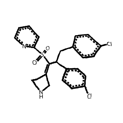 O=S(=O)(C(=C1CNC1)C(Cc1ccc(Cl)cc1)c1ccc(Cl)cc1)c1ccccn1